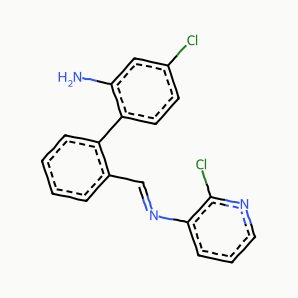 Nc1cc(Cl)ccc1-c1ccccc1C=Nc1cccnc1Cl